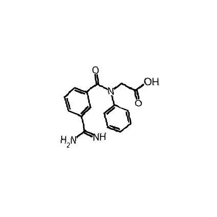 N=C(N)c1cccc(C(=O)N(CC(=O)O)c2ccccc2)c1